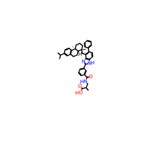 CC(CNC(=O)c1cccc(-c2nc3c(C[C@@]4(C)CCC[C@]5(C)c6ccc(C(C)C)cc6CC[C@@H]45)c(-c4ccccc4)ccc3[nH]2)c1)C(=O)O